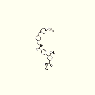 Cc1ccc(C(=O)NC2CC2)cc1-c1ccc(C(=O)NCc2ccc(CN3CCN(C)CC3)cc2)cc1